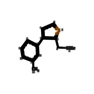 CNCc1sccc1-c1cccc(C)c1